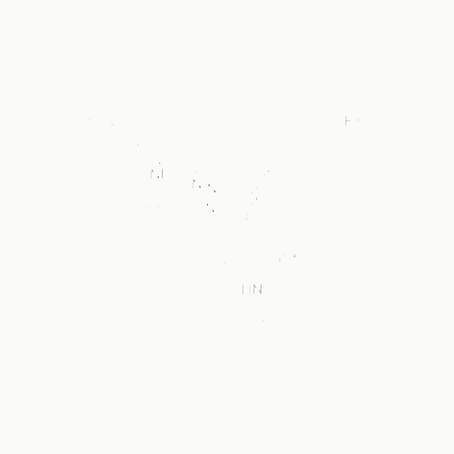 CCNC(=O)c1ccc(-n2cc(C(=O)NCCSCC)nn2)c(OCCCCCCF)c1